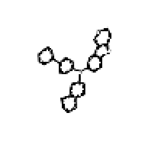 c1ccc(-c2ccc(N(c3ccc4ccccc4c3)c3ccc4oc5ccncc5c4c3)cc2)cc1